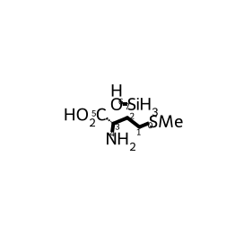 CSCC[C@H](N)C(=O)O.O[SiH3]